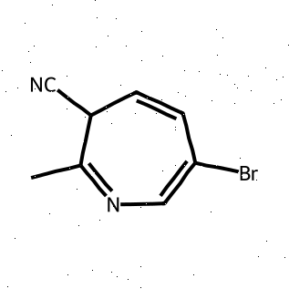 CC1=NC=C(Br)C=CC1C#N